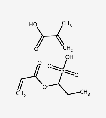 C=C(C)C(=O)O.C=CC(=O)OC(CC)S(=O)(=O)O